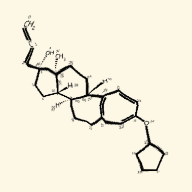 C=C=C[C@]1(O)CC[C@H]2[C@@H]3CCc4cc(OC5CCCC5)ccc4[C@H]3CC[C@@]21C